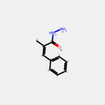 CC(=Cc1ccccc1)C(=O)NN